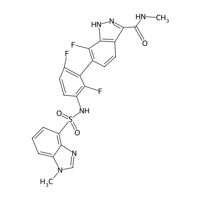 CNC(=O)c1n[nH]c2c(F)c(-c3c(F)ccc(NS(=O)(=O)c4cccc5c4ncn5C)c3F)ccc12